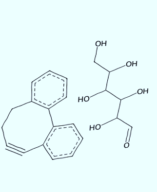 C1#Cc2ccccc2-c2ccccc2CC1.O=CC(O)C(O)C(O)C(O)CO